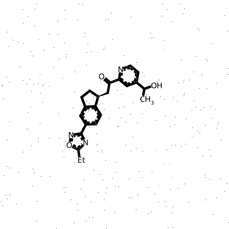 CCc1nc(-c2ccc3c(c2)CC[C@H]3CC(=O)c2cc(C(C)O)ccn2)no1